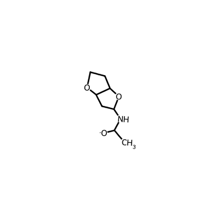 CC([O])NC1CC2OCCC2O1